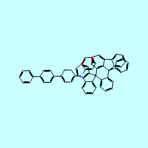 C1=C(c2ccc(-c3ccccc3)cc2)CCC(N(c2ccccc2)c2ccccc2C2(c3ccccc3)c3ccccc3C3(c4ccccc4)c4ccccc4-c4cccc2c43)=C1